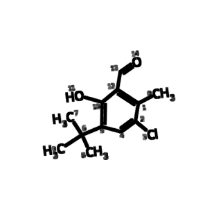 Cc1c(Cl)cc(C(C)(C)C)c(O)c1C=O